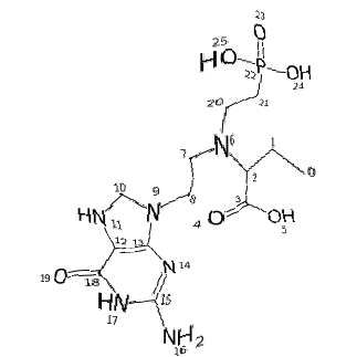 CCC(C(=O)O)N(CCN1CNc2c1nc(N)[nH]c2=O)CCP(=O)(O)O